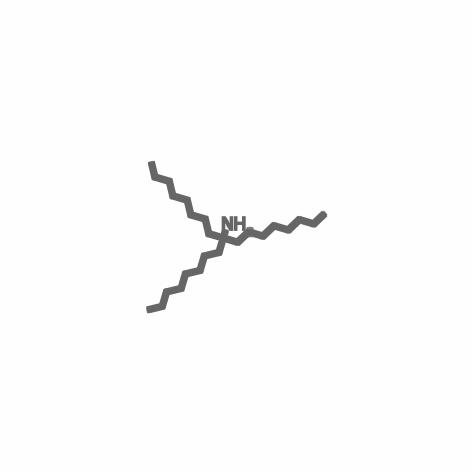 CCCCCCCCC(N)(CCCCCCCC)CCCCCCCC